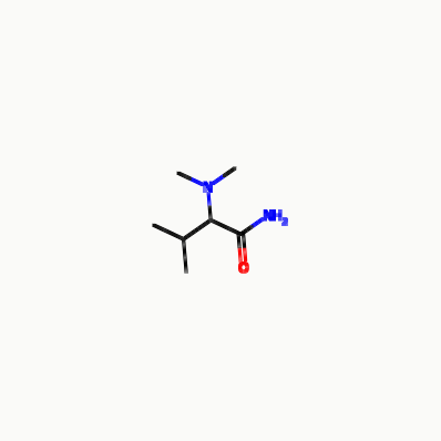 CC(C)C(C(N)=O)N(C)C